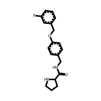 O=C(NCc1ccc(OCc2cccc(F)c2)cc1)C1CCCN1